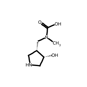 CN(C[C@H]1CNC[C@H]1O)C(=O)O